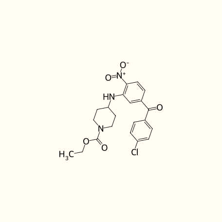 CCOC(=O)N1CCC(Nc2cc(C(=O)c3ccc(Cl)cc3)ccc2[N+](=O)[O-])CC1